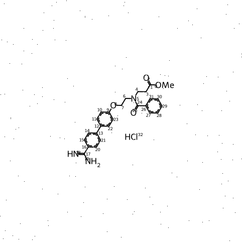 COC(=O)CCN(CCOc1ccc(-c2ccc(C(=N)N)cc2)cc1)C(=O)c1ccccc1.Cl